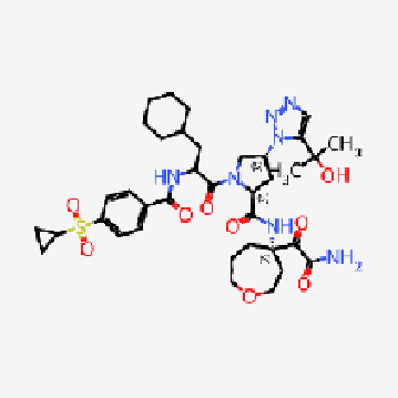 CC(C)(O)c1cnnn1[C@H]1C[C@@H](C(=O)N[C@@]2(C(=O)C(N)=O)CCCOCC2)N(C(=O)C(CC2CCCCC2)NC(=O)c2ccc(S(=O)(=O)C3CC3)cc2)C1